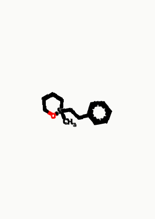 C[Si]1(CCc2ccccc2)CCCCO1